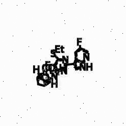 CCSc1nc(-c2c[nH]c3ncc(F)cc23)nc(N[C@H]2C3CCC(CC3)[C@@H]2C(=O)O)c1F